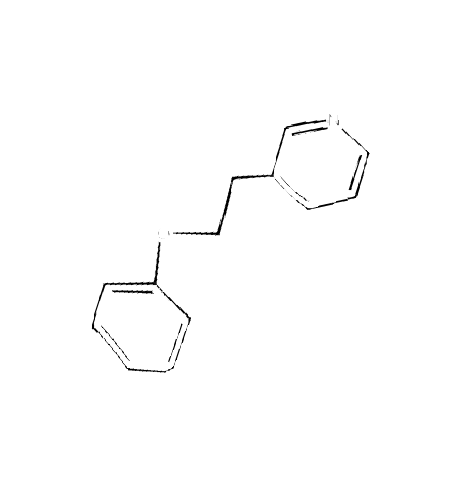 c1ccc(OCCc2cccnc2)cc1